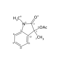 CC(=O)OC1(C)C(=O)N(C)c2ccccc21